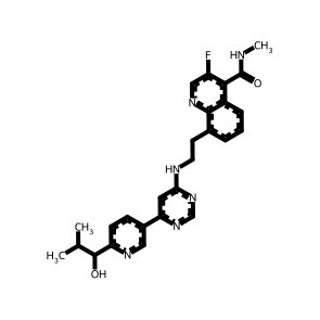 CNC(=O)c1c(F)cnc2c(CCNc3cc(-c4ccc(C(O)C(C)C)nc4)ncn3)cccc12